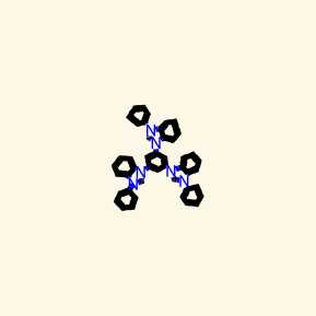 c1ccc(N2CN(c3cc(N4CN(c5ccccc5)c5ccccc54)cc(N4CN(c5ccccc5)c5ccccc54)c3)c3ccccc32)cc1